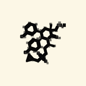 C[C@@H](CCS(=O)(=O)CC1CC1)N1C(=O)[C@@](C)(CC(=O)O)C[C@H](c2cccc(Cl)c2)[C@H]1c1ccc(Cl)cc1